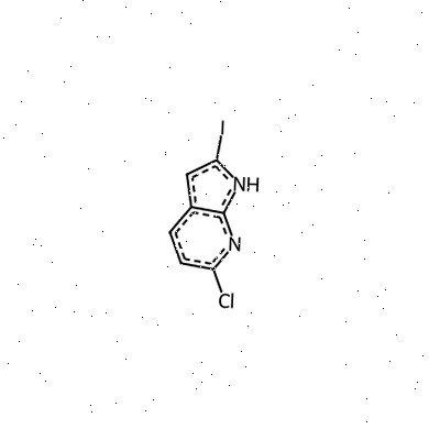 Clc1ccc2cc(I)[nH]c2n1